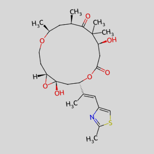 CC(=Cc1csc(C)n1)[C@@H]1C[C@]2(O)O[C@@H]2CCO[C@@H](C)C[C@@H](C)C(=O)C(C)(C)[C@@H](O)CC(=O)O1